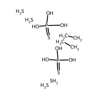 CC.CC.OP(O)(O)=S.OP(O)(O)=S.S.S.S.S